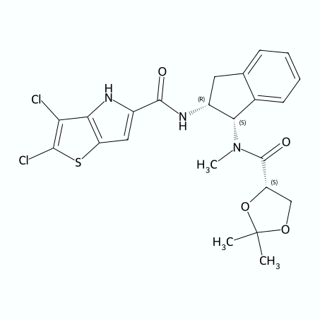 CN(C(=O)[C@@H]1COC(C)(C)O1)[C@H]1c2ccccc2C[C@H]1NC(=O)c1cc2sc(Cl)c(Cl)c2[nH]1